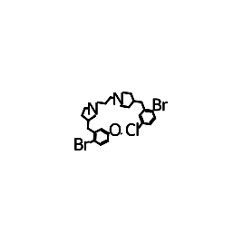 COc1ccc(Br)c(CC2CCN(CCCN3CCC(Cc4cc(Cl)ccc4Br)CC3)C2)c1